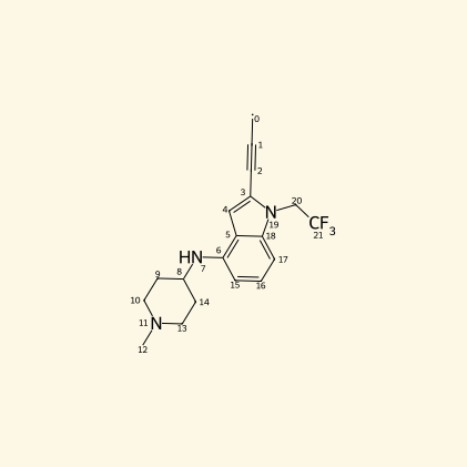 [CH2]C#Cc1cc2c(NC3CCN(C)CC3)cccc2n1CC(F)(F)F